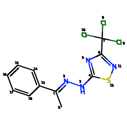 CC(=NNc1nc(C(Cl)(Cl)Cl)ns1)c1ccccc1